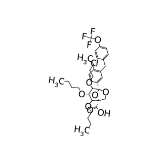 CCCCO[C@@H]1[C@@H](OCCCC)[C@@]2(c3ccc(Cl)c(Cc4ccc(OC(F)(F)F)cc4)c3)OC[C@](C(=O)O)(O2)[C@H]1OCCCC